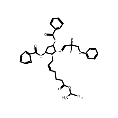 CC(C)OC(=O)CCC/C=C\C[C@@H]1[C@@H](/C=C/C(F)(F)COc2ccccc2)[C@H](OC(=O)c2ccccc2)C[C@@H]1OC(=O)c1ccccc1